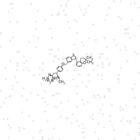 CC#CC(C/C(=N/N)NN)c1ccc(OCc2ccc3scc(-c4cccc5c4CCC(C)(C)O5)c3c2)cc1